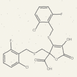 O=C1OC(CSCc2c(F)cccc2Cl)(C(=O)O)C(SCc2c(F)cccc2Cl)=C1O